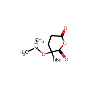 CCCCC1(O[SiH](C)C)CCC(=O)OC1=O